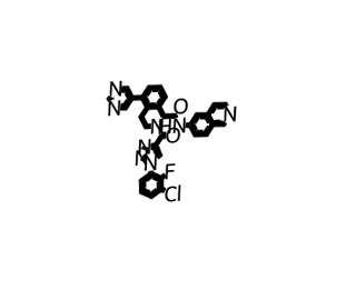 O=C(Nc1ccc2cnccc2c1)C1c2cccc(-c3cncnc3)c2CCN1C(=O)c1cn(-c2cccc(Cl)c2F)nn1